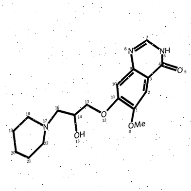 COc1cc2c(=O)[nH]cnc2cc1OCC(O)CN1CCCCC1